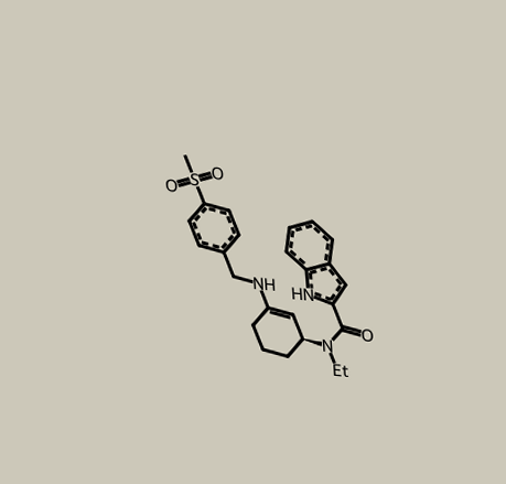 CCN(C(=O)c1cc2ccccc2[nH]1)[C@@H]1C=C(NCc2ccc(S(C)(=O)=O)cc2)CCC1